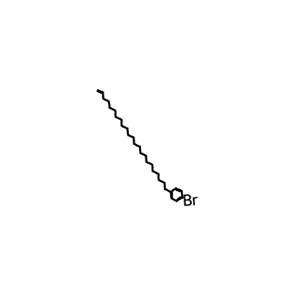 C=CCCCCCCCCCCCCCCCCCCCCCc1ccc(Br)cc1